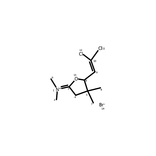 C[N+](C)=C1CC(C)(C)C(C=C(Cl)Cl)O1.[Br-]